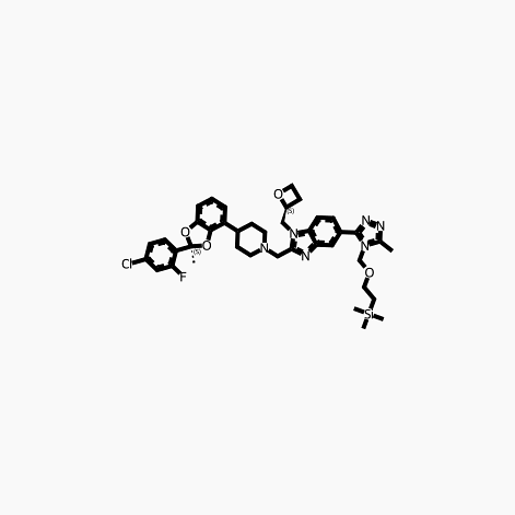 Cc1nnc(-c2ccc3c(c2)nc(CN2CCC(c4cccc5c4O[C@@](C)(c4ccc(Cl)cc4F)O5)CC2)n3C[C@@H]2CCO2)n1COCC[Si](C)(C)C